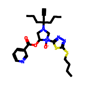 C#CC(CCC)(CCC)N1CC(OC(=O)c2cccnc2)[N+]([O-])(c2nnc(SCCCC)s2)C1